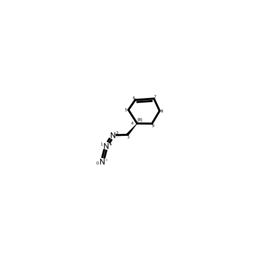 [N-]=[N+]=NC[C@H]1CC=CCC1